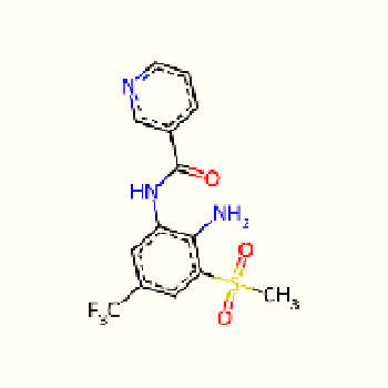 CS(=O)(=O)c1cc(C(F)(F)F)cc(NC(=O)c2cccnc2)c1N